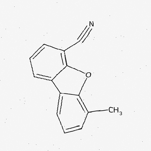 Cc1cccc2c1oc1c(C#N)cccc12